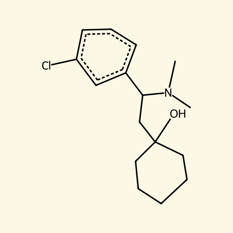 CN(C)C(CC1(O)CCCCC1)c1cccc(Cl)c1